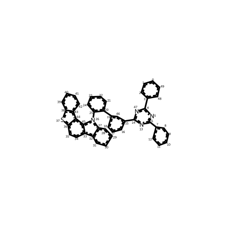 c1ccc(-c2nc(-c3ccccc3)nc(-c3cccc(-c4ccccc4-n4c5ccccc5c5ccc6sc7ccccc7c6c54)c3)n2)cc1